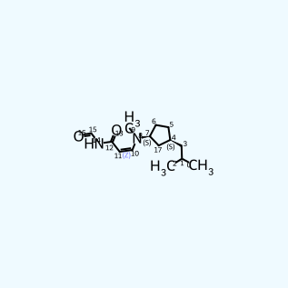 CC(C)C[C@@H]1CC[C@H](N(C)/C=C\C(=O)NC=O)C1